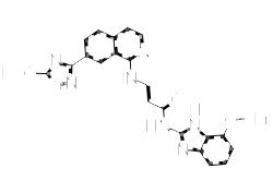 CCCOc1cccc2nc(NC(=O)C=CNc3nccc4ccc(-c5noc(C)n5)cc34)[nH]c12